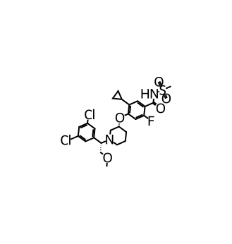 COC[C@H](c1cc(Cl)cc(Cl)c1)N1CCC[C@@H](Oc2cc(F)c(C(=O)NS(C)(=O)=O)cc2C2CC2)C1